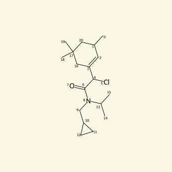 CC1C=C(C(Cl)C(=O)N(CC2CC2)C(C)C)CC(C)(C)C1